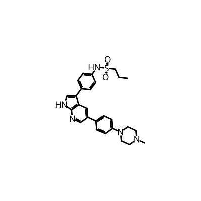 CCCS(=O)(=O)Nc1ccc(-c2c[nH]c3ncc(-c4ccc(N5CCN(C)CC5)cc4)cc23)cc1